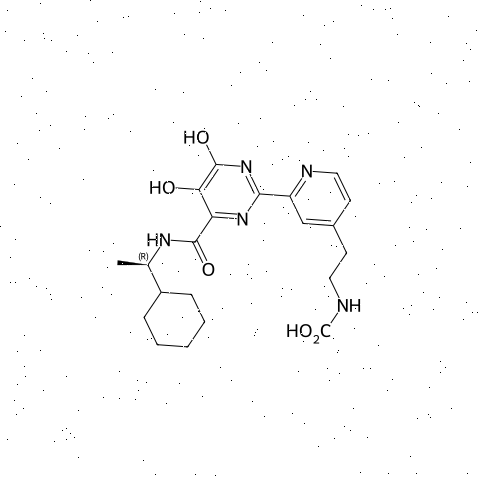 C[C@@H](NC(=O)c1nc(-c2cc(CCNC(=O)O)ccn2)nc(O)c1O)C1CCCCC1